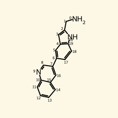 NCc1cc2cc(-c3cnc4ccccc4c3)ccc2[nH]1